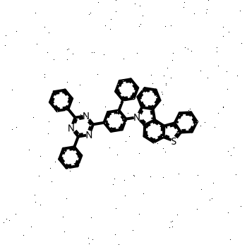 c1ccc(-c2nc(-c3ccccc3)nc(-c3ccc(-n4c5ccccc5c5c6c(ccc54)sc4ccccc46)c(-c4ccccc4)c3)n2)cc1